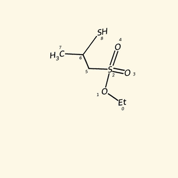 CCOS(=O)(=O)CC(C)S